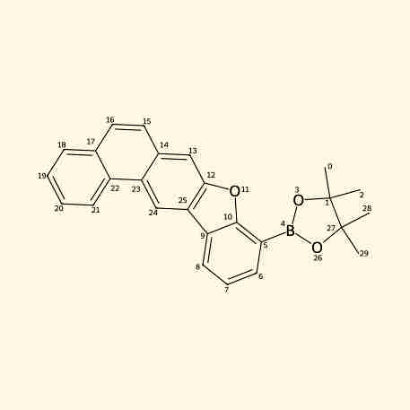 CC1(C)OB(c2cccc3c2oc2cc4ccc5ccccc5c4cc23)OC1(C)C